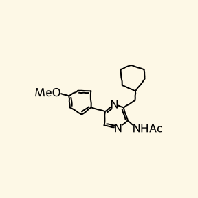 COc1ccc(-c2cnc(NC(C)=O)c(CC3CCCCC3)n2)cc1